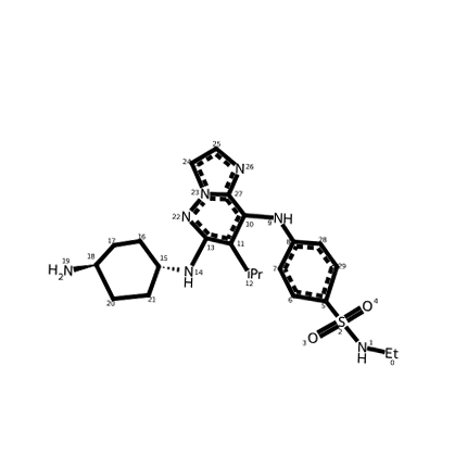 CCNS(=O)(=O)c1ccc(Nc2c(C(C)C)c(N[C@H]3CC[C@H](N)CC3)nn3ccnc23)cc1